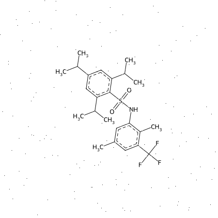 Cc1cc(NS(=O)(=O)c2c(C(C)C)cc(C(C)C)cc2C(C)C)c(C)c(C(F)(F)F)c1